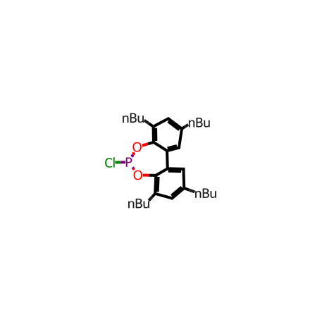 CCCCc1cc(CCCC)c2op(Cl)oc3c(CCCC)cc(CCCC)cc3c2c1